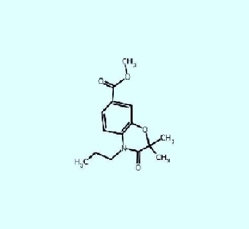 CCCN1C(=O)C(C)(C)Oc2cc(C(=O)OC)ccc21